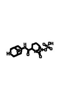 O=C(NC1CC2CNCC(C1)N2)C1CCC2CN1C(=O)N2OS(=O)(=O)O